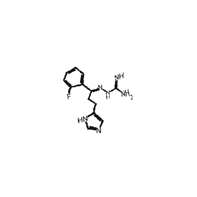 N=C(N)NN=C(CCc1cnc[nH]1)c1ccccc1F